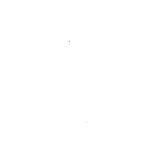 O=c1[nH]/c(=C\c2ccc(OCCn3ccnc3)cc2)c(=O)[nH]/c1=C\c1ccccc1